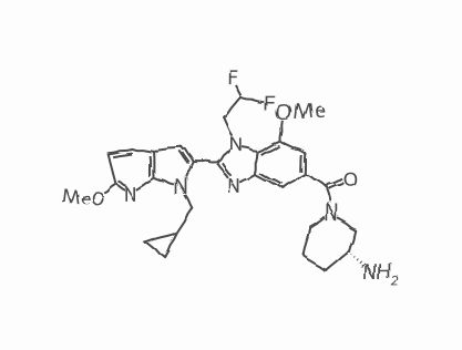 COc1ccc2cc(-c3nc4cc(C(=O)N5CCC[C@@H](N)C5)cc(OC)c4n3CC(F)F)n(CC3CC3)c2n1